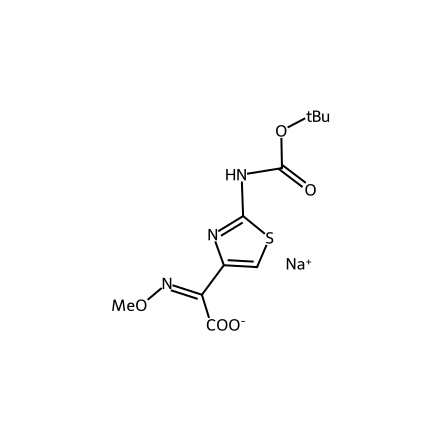 CO/N=C(\C(=O)[O-])c1csc(NC(=O)OC(C)(C)C)n1.[Na+]